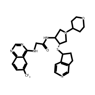 O=C(CNc1ncnc2ccc(C(F)(F)F)cc12)NC1CN(C2CCOCC2)C[C@@H]1SC1CCc2cnccc21